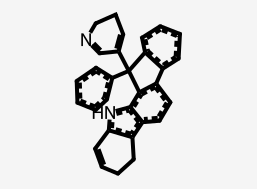 C1=Cc2[nH]c3c4c(ccc3c2CC1)-c1ccccc1C4(C1=CCCN=C1)c1ccccc1